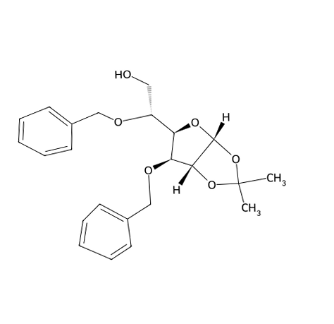 CC1(C)O[C@H]2O[C@H]([C@@H](CO)OCc3ccccc3)[C@H](OCc3ccccc3)[C@H]2O1